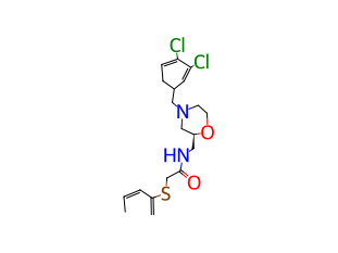 C=C(/C=C\C)SCC(=O)NC[C@H]1CN(CC2C=C(Cl)C(Cl)=CC2)CCO1